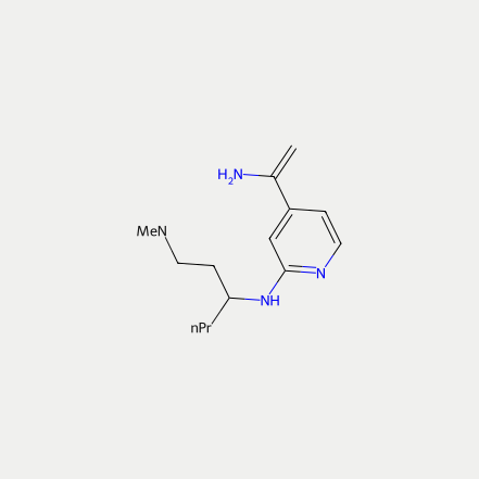 C=C(N)c1ccnc(NC(CCC)CCNC)c1